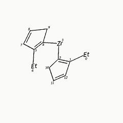 CCC1=[C]([Zr][C]2=C(CC)C=CC2)CC=C1